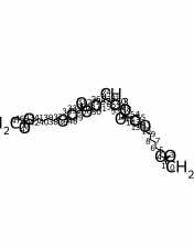 C=CC(=O)OCCCCCCOc1ccc(C(=O)Oc2ccc(C(C)c3ccc(OC(=O)c4ccc(OCCCCCCOC(=O)C=C)cc4)cc3)cc2)cc1